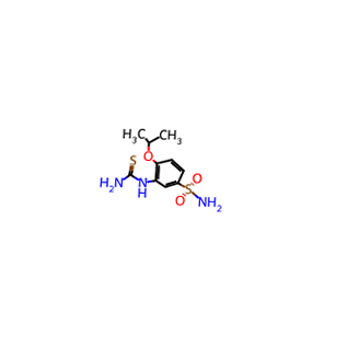 CC(C)Oc1ccc(S(N)(=O)=O)cc1NC(N)=S